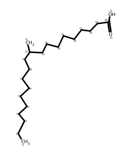 CCCCCCCCCCC(C)CCCCCCCCC(=O)O